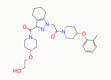 Cc1ccccc1OC1CCN(C(=O)Cn2nc(C(=O)N3CCC(OCCO)CC3)c3c2CCCC3)CC1